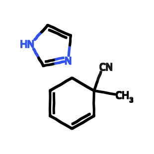 CC1(C#N)C=CC=CC1.c1c[nH]cn1